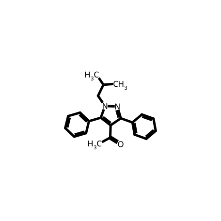 CC(=O)c1c(-c2ccccc2)nn(CC(C)C)c1-c1ccccc1